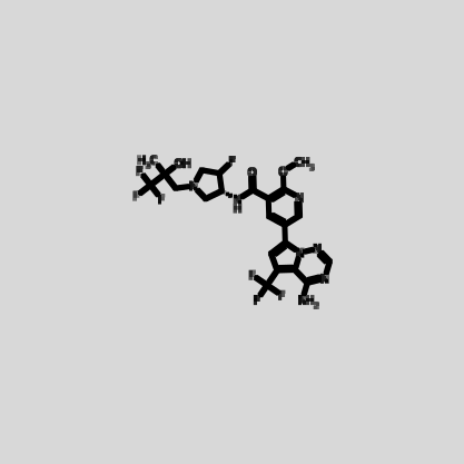 COc1ncc(-c2cc(C(F)(F)F)c3c(N)ncnn23)cc1C(=O)N[C@@H]1CN(CC(C)(O)C(F)(F)F)CC1F